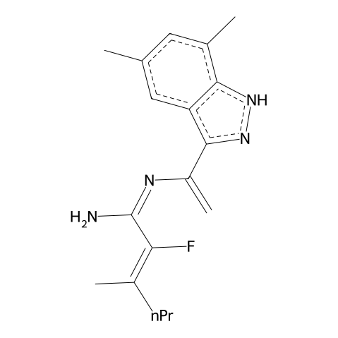 C=C(/N=C(N)\C(F)=C(/C)CCC)c1n[nH]c2c(C)cc(C)cc12